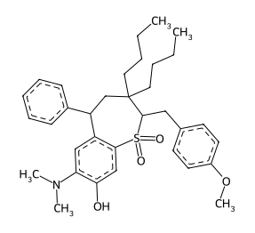 CCCCC1(CCCC)CC(c2ccccc2)c2cc(N(C)C)c(O)cc2S(=O)(=O)C1Cc1ccc(OC)cc1